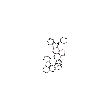 C1=CCC(n2c3ccccc3c3cc(N(c4ccccc4-c4ccccc4)c4cccc5c4-c4c6c(cc7cccc-5c47)CCC=C6)ccc32)C=C1